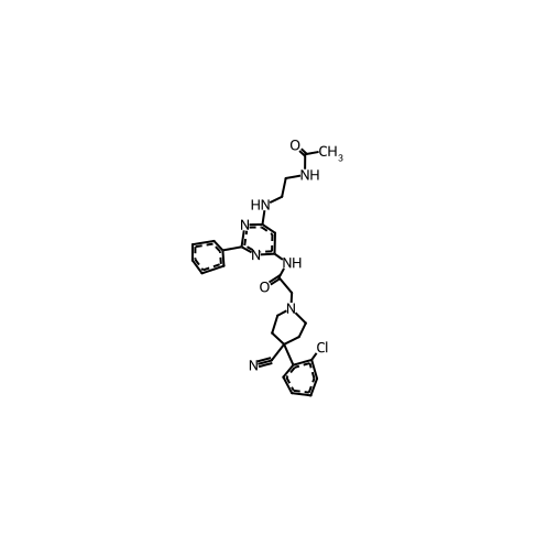 CC(=O)NCCNc1cc(NC(=O)CN2CCC(C#N)(c3ccccc3Cl)CC2)nc(-c2ccccc2)n1